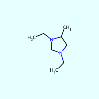 CCN1CC(C)N(CC)C1